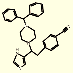 N#Cc1ccc(CC(c2cnc[nH]2)N2CCN(C(c3ccccc3)c3ccccc3)CC2)cc1